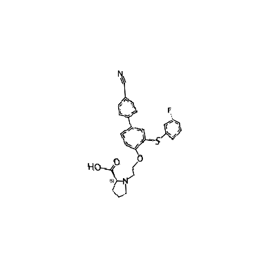 N#Cc1ccc(-c2ccc(OCCN3CCC[C@H]3C(=O)O)c(Sc3cccc(F)c3)c2)cc1